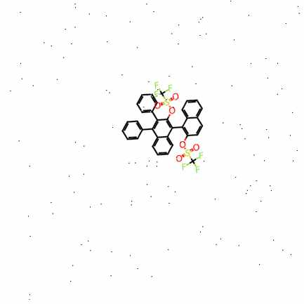 O=S(=O)(Oc1ccc2ccccc2c1-c1c(OS(=O)(=O)C(F)(F)F)c(-c2ccccc2)c(-c2ccccc2)c2ccccc12)C(F)(F)F